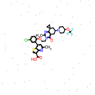 Cc1cc(-c2cc(Cl)ccc2OCCn2c(C)nc3c(c2=O)CC(N2CCC(OC(F)(F)F)CC2)CC32CC2)c2scc(C(=O)O)c2n1